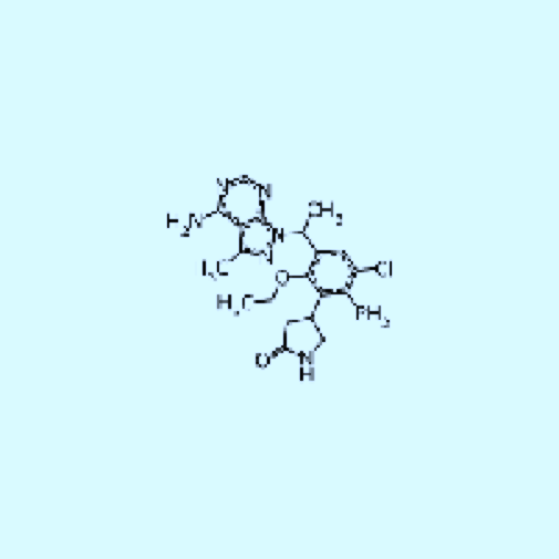 CCOc1c(C(C)n2nc(C)c3c(N)ncnc32)cc(Cl)c(P)c1C1CNC(=O)C1